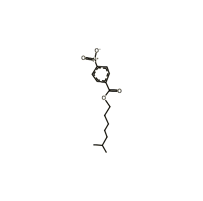 CC(C)CCCCCOC(=O)c1ccc([N+](=O)[O-])cc1